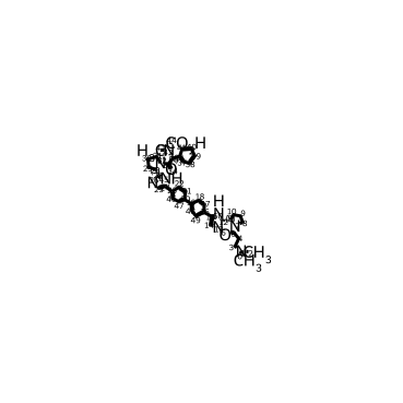 CN(C)CCC(=O)N1CCC[C@H]1c1ncc(-c2ccc(-c3ccc(-c4cnc([C@@H]5CCCN5C(=O)[C@@H](c5ccccc5)N(C)C(=O)O)[nH]4)cc3)cc2)[nH]1